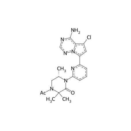 CC(=O)N1C[C@H](C)N(c2cccc(-c3cc(Cl)c4c(N)ncnn34)n2)C(=O)C1(C)C